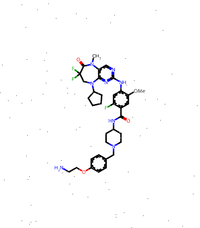 COc1cc(C(=O)NC2CCN(Cc3ccc(OCCN)cc3)CC2)c(F)cc1Nc1ncc2c(n1)N(C1CCCC1)CC(F)(F)C(=O)N2C